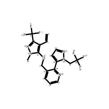 C=Cc1c(C(F)(F)F)nn(C)c1OCc1cccnc1-c1ccnn1CC(F)(F)F